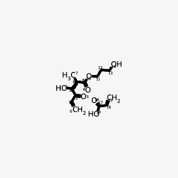 C=CC(=O)C(O)=C(C)C(=O)OCCCO.C=CC(=O)O